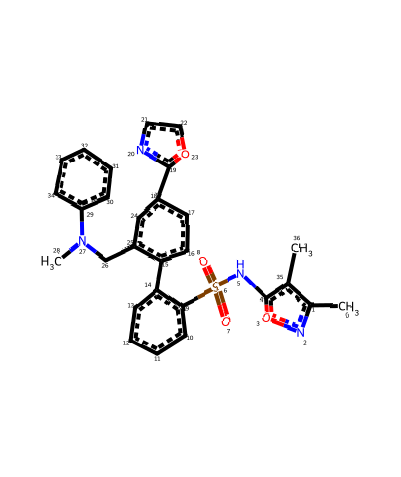 Cc1noc(NS(=O)(=O)c2ccccc2-c2ccc(-c3ncco3)cc2CN(C)c2ccccc2)c1C